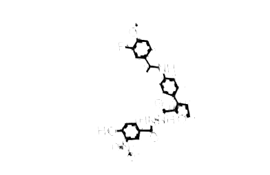 COc1ccc(C(C)Nc2ccc(-c3ccoc3C(=O)NNC(=O)c3ccc(O)c([N+](=O)[O-])c3)cc2)cc1F